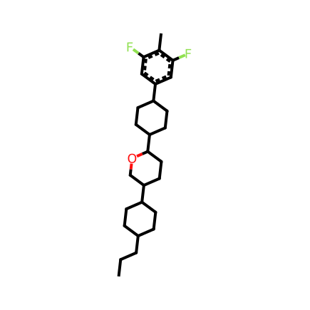 CCCC1CCC(C2CCC(C3CCC(c4cc(F)c(C)c(F)c4)CC3)OC2)CC1